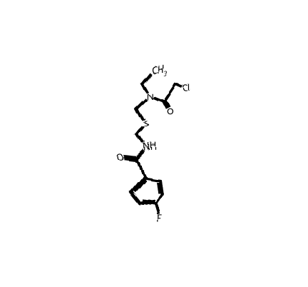 CCN(CSCNC(=O)c1ccc(F)cc1)C(=O)CCl